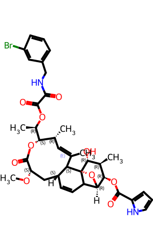 CO[C@H]1C[C@H]2C=CC3C4[C@H](O)[C@@H](C)[C@@H](OC(=O)c5ccc[nH]5)[C@@H]3O[C@]42/C(C)=C/[C@@H](C)[C@@H]([C@@H](C)OC(=O)C(=O)NCc2cccc(Br)c2)OC1=O